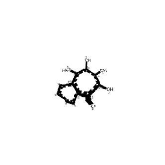 O=c1c(O)c(O)c(O)c(O)c2ccccc12